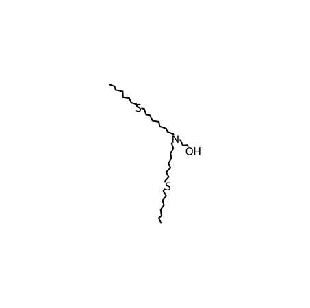 CCCCCCCCSCCCCCCCCCN(CCCO)CCCCCCCCCSCCCCCCCC